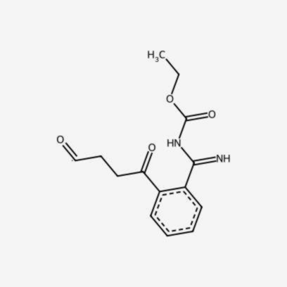 CCOC(=O)NC(=N)c1ccccc1C(=O)CC[C]=O